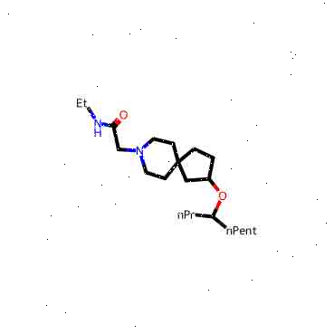 CCCCCC(CCC)OC1CCC2(CCN(CC(=O)NCC)CC2)C1